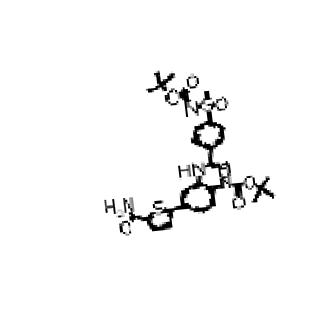 CC(C)(C)OC(=O)N=S(C)(=O)c1ccc(C(=O)Nc2cc(-c3ccc(C(N)=O)s3)ccc2NC(=O)OC(C)(C)C)cc1